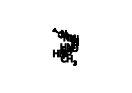 Cc1[nH]nc2c1CC[C@H]2NC(=O)c1cn(Cc2cn3cc(C4CC4)ccc3n2)nn1